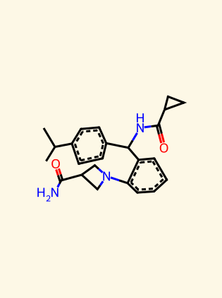 CC(C)c1ccc(C(NC(=O)C2CC2)c2ccccc2N2CC(C(N)=O)C2)cc1